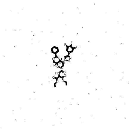 CCOC(=O)C(NC(=O)[C@H]1C[C@@H](n2cc(-c3cc(F)c(F)c(F)c3)nn2)[C@H]2OC(c3ccccc3)OC[C@H]2O1)C(=O)OCC